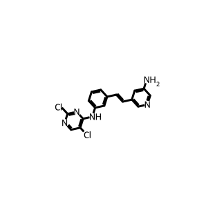 Nc1cncc(C=Cc2cccc(Nc3nc(Cl)ncc3Cl)c2)c1